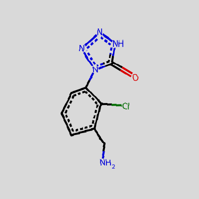 NCc1cccc(-n2nn[nH]c2=O)c1Cl